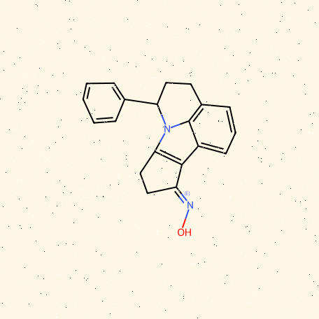 O/N=C1\CCc2c1c1cccc3c1n2C(c1ccccc1)CC3